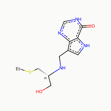 CCSC[C@@H](CO)NCc1c[nH]c2c(=O)[nH]cnc12